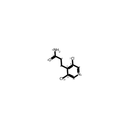 NC(=O)C[CH]c1c(Cl)cncc1Cl